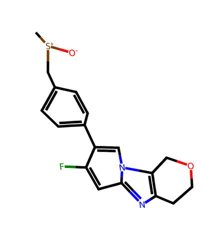 C[S+]([O-])Cc1ccc(-c2cn3c4c(nc3cc2F)CCOC4)cc1